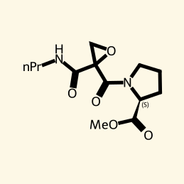 CCCNC(=O)C1(C(=O)N2CCC[C@H]2C(=O)OC)CO1